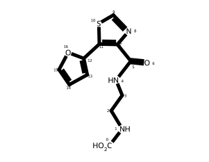 O=C(O)NCCNC(=O)c1ncsc1-c1ccco1